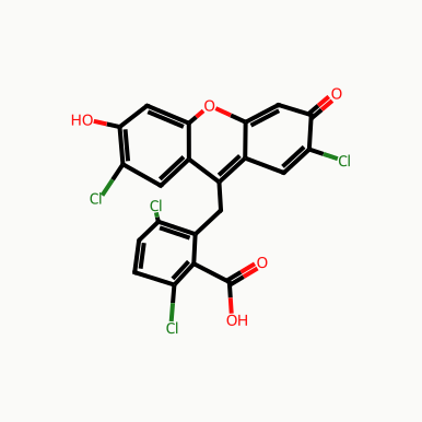 O=C(O)c1c(Cl)ccc(Cl)c1Cc1c2cc(Cl)c(=O)cc-2oc2cc(O)c(Cl)cc12